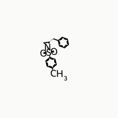 Cc1ccc(S(=O)(=O)N2C[C@@H]2Cc2ccccc2)cc1